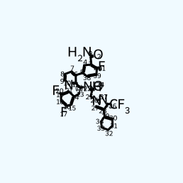 NC(=O)c1cc(-c2cccnc2[C@H](Cc2cc(F)cc(F)c2)NC(=O)Cn2cc(C3=CCCCC3)c(C(F)(F)F)n2)ccc1F